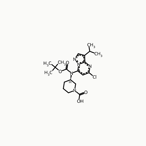 CC(C)c1cnn2c(N(C(=O)OC(C)(C)C)[C@@H]3CCCN(C(=O)O)C3)cc(Cl)nc12